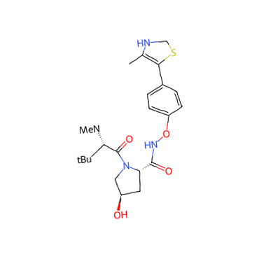 CN[C@H](C(=O)N1C[C@H](O)C[C@H]1C(=O)NOc1ccc(C2=C(C)NCS2)cc1)C(C)(C)C